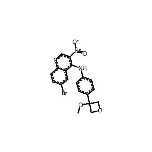 COC1(c2ccc(Nc3c([N+](=O)[O-])cnc4ccc(Br)cc34)cc2)COC1